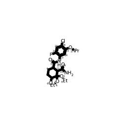 CCOC1(OCC)C(Cl)CCC(C(=O)Nc2cc(OC(C)C)c(Cl)cc2F)C1C(N)=O